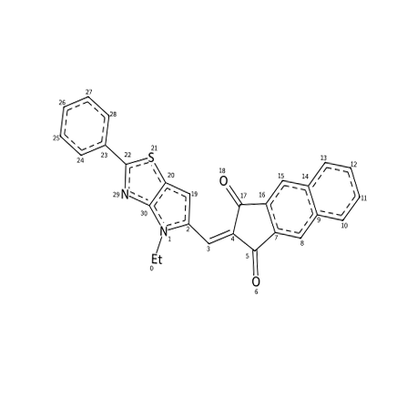 CCn1c(C=C2C(=O)c3cc4ccccc4cc3C2=O)cc2sc(-c3ccccc3)nc21